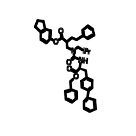 CC(C)CN(CC(CCc1ccccc1)C(=O)Oc1ccc2c(c1)CCC2)C(=O)N[C@@H](Cc1ccc(-c2ccccc2)cc1)C(=O)OCc1ccccc1